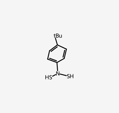 CC(C)(C)c1ccc(N(S)S)cc1